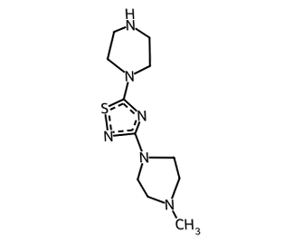 CN1CCN(c2nsc(N3CCNCC3)n2)CC1